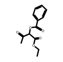 CCOC(=O)C(OC(=O)c1ccccc1)C(C)=O